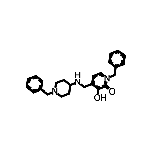 O=c1c(O)c(CNC2CCN(Cc3ccccc3)CC2)ccn1Cc1ccccc1